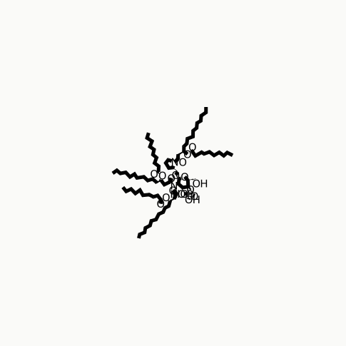 CCCCCCCCCCC[C@H](CC(=O)N[C@H]1[C@H](OC[C@@H]2CCCN2C(=O)C[C@@H](CCCCCCCCCCC)OC(=O)CCCCCCCCC)O[C@H](CO)[C@@H](OP(=O)(O)O)[C@@H]1OC(=O)C[C@@H](CCCCCCCCCCC)OC(=O)CCCCCCCCC)OC(=O)CCCCCCCCC